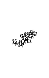 CCn1c(Cn2ccc(-c3cccs3)n2)cc(=O)c(C(=O)O)c1-c1ccc(Cl)c(Cl)c1